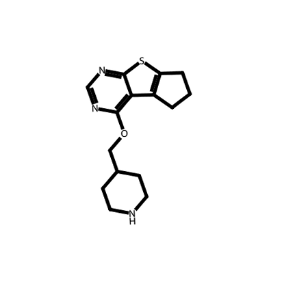 c1nc(OCC2CCNCC2)c2c3c(sc2n1)CCC3